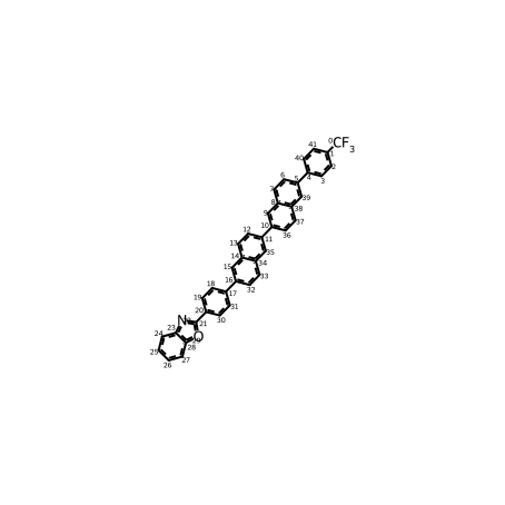 FC(F)(F)c1ccc(-c2ccc3cc(-c4ccc5cc(-c6ccc(-c7nc8ccccc8o7)cc6)ccc5c4)ccc3c2)cc1